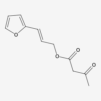 CC(=O)CC(=O)OCC=Cc1ccco1